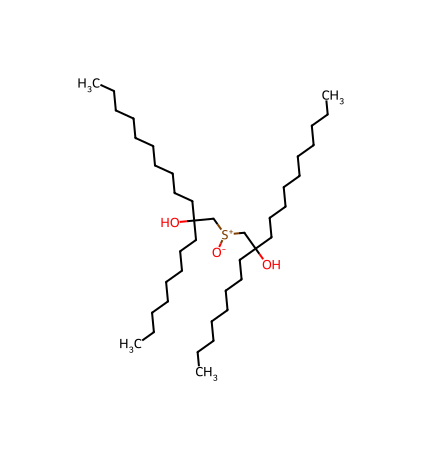 CCCCCCCCCCC(O)(CCCCCCCC)C[S+]([O-])CC(O)(CCCCCCCC)CCCCCCCCCC